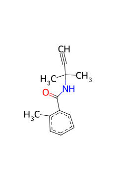 C#CC(C)(C)NC(=O)c1ccccc1C